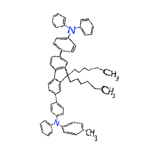 CCCCCCC1(CCCCCC)c2cc(-c3ccc(N(c4ccccc4)c4ccccc4)cc3)ccc2-c2ccc(-c3ccc(N(c4ccccc4)c4ccc(C)cc4)cc3)cc21